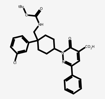 CC(C)(C)OC(=O)NCC1(c2cccc(Cl)c2)CCC(n2nc(-c3ccccc3)cc(C(=O)O)c2=O)CC1